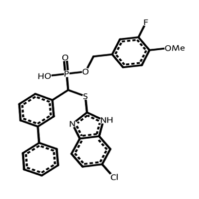 COc1ccc(COP(=O)(O)C(Sc2nc3ccc(Cl)cc3[nH]2)c2cccc(-c3ccccc3)c2)cc1F